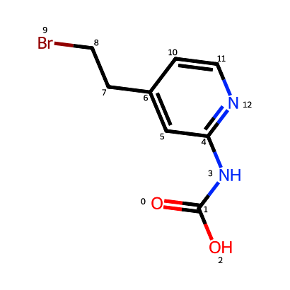 O=C(O)Nc1cc(CCBr)ccn1